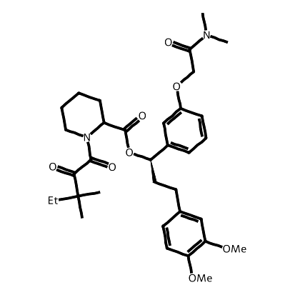 CCC(C)(C)C(=O)C(=O)N1CCCCC1C(=O)O[C@H](CCc1ccc(OC)c(OC)c1)c1cccc(OCC(=O)N(C)C)c1